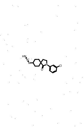 N=[N+]=NC1CCC2(CC1)CCN(c1cccc(Cl)c1)C2=O